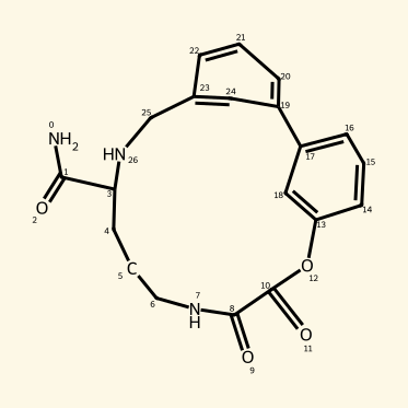 NC(=O)C1CCCNC(=O)C(=O)Oc2cccc(c2)-c2cccc(c2)CN1